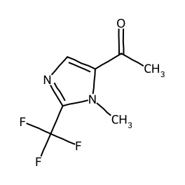 CC(=O)c1cnc(C(F)(F)F)n1C